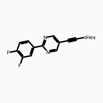 CCCCCCC#Cc1cnc(-c2ccc(F)c(F)c2)nc1